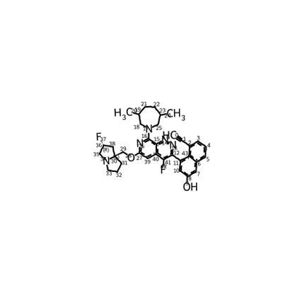 C#Cc1cccc2cc(O)cc(-c3nnc4c(N5CC(C)CCC(C)C5)nc(OC[C@@]56CCCN5C[C@H](F)C6)cc4c3F)c12